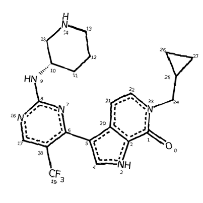 O=c1c2[nH]cc(-c3nc(N[C@H]4CCCNC4)ncc3C(F)(F)F)c2ccn1CC1CC1